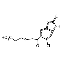 O=C(O)CCSCC(=O)c1cc2sc(=O)[nH]c2cc1Cl